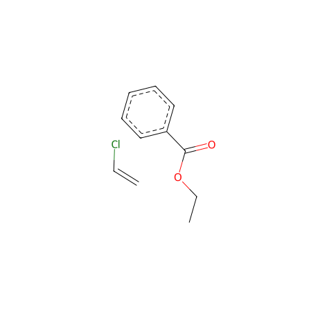 C=CCl.CCOC(=O)c1ccccc1